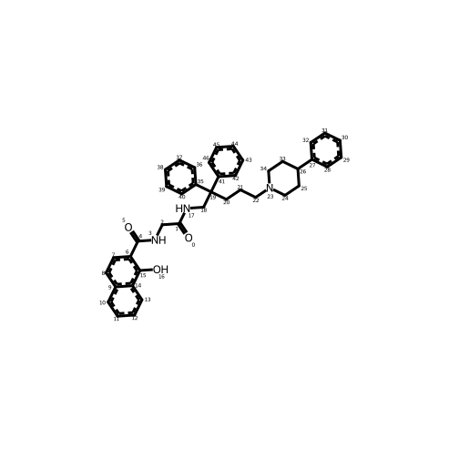 O=C(CNC(=O)c1ccc2ccccc2c1O)NCC(CCCN1CCC(c2ccccc2)CC1)(c1ccccc1)c1ccccc1